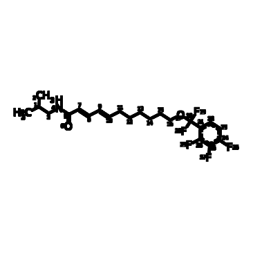 CC(C)CNC(=O)C=CC=CCCCCCCOC(F)(F)c1ccc(F)c(F)c1F